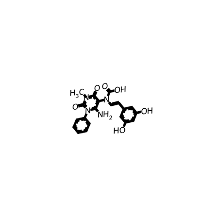 Cn1c(=O)c(N(C=Cc2cc(O)cc(O)c2)C(=O)O)c(N)n(-c2ccccc2)c1=O